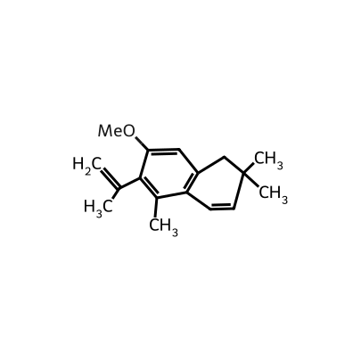 C=C(C)c1c(OC)cc2c(c1C)C=CC(C)(C)C2